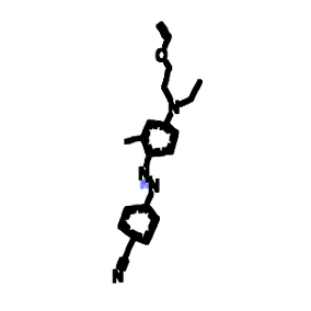 C=COCCN(CC)c1ccc(/N=N/c2ccc(C#N)cc2)c(C)c1